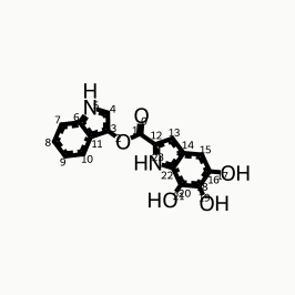 O=C(Oc1c[nH]c2ccccc12)c1cc2cc(O)c(O)c(O)c2[nH]1